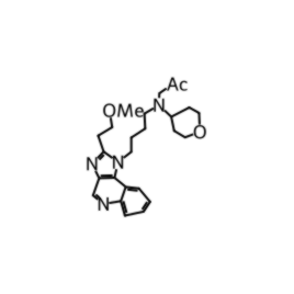 COCCc1nc2cnc3ccccc3c2n1CCCCN(CC(C)=O)C1CCOCC1